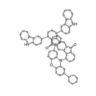 O=c1c2cc3c(cc2c2c(N4c5cc(-c6ccccc6)ccc5Oc5ccc(-c6ccccc6)cc54)cccc12)c(=O)c1c(-c2ccc4[nH]c5ccccc5c4c2)ccc(-c2ccc4[nH]c5ccccc5c4c2)c13